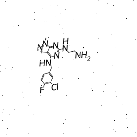 Cn1ncc2c(NCc3ccc(F)c(Cl)c3)nc(NCCN)nc21